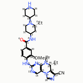 CC[C@@H]1CC(NC(=O)c2ccc(Nc3ncc4c(n3)N(C(C)C)[C@H](CC)c3c(C#N)ncn3-4)c(OC)c2)CCN1C1CCNCC1